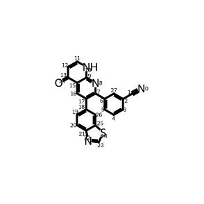 N#Cc1cccc(-c2nc3[nH]ccc(=O)c3cc2-c2ccc3ncsc3c2)c1